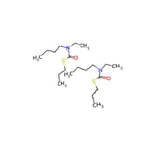 CCCCN(CC)C(=O)SCCC.CCCCN(CC)C(=O)SCCC